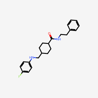 O=C(NCCc1ccccc1)C1CCC(CNc2ccc(F)cc2)CC1